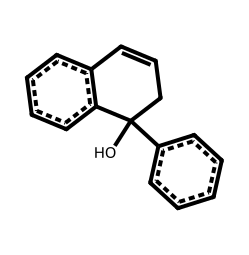 OC1(c2ccccc2)CC=Cc2ccccc21